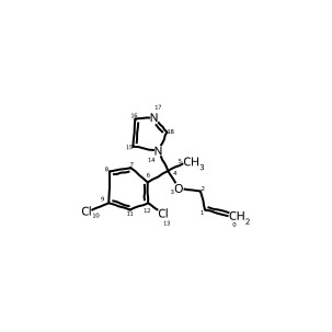 C=CCOC(C)(c1ccc(Cl)cc1Cl)n1ccnc1